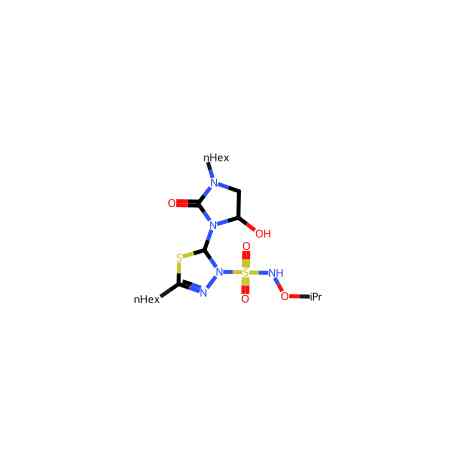 CCCCCCC1=NN(S(=O)(=O)NOC(C)C)C(N2C(=O)N(CCCCCC)CC2O)S1